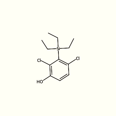 CC[Si](CC)(CC)c1c(Cl)ccc(O)c1Cl